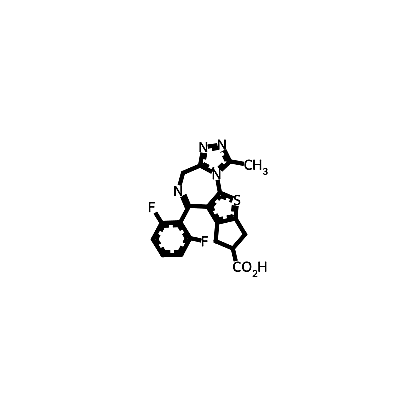 Cc1nnc2n1-c1sc3c(c1C(c1c(F)cccc1F)=NC2)CC(C(=O)O)C3